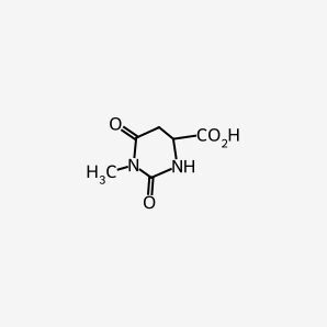 CN1C(=O)CC(C(=O)O)NC1=O